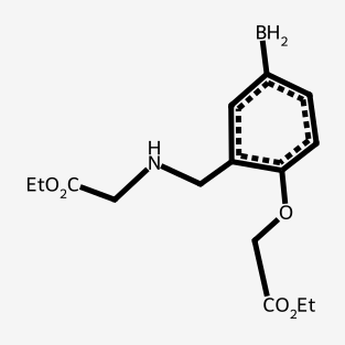 Bc1ccc(OCC(=O)OCC)c(CNCC(=O)OCC)c1